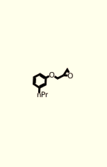 C[C]Cc1cccc(OCC2CO2)c1